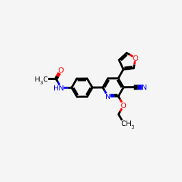 CCOc1nc(-c2ccc(NC(C)=O)cc2)cc(-c2ccoc2)c1C#N